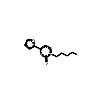 O=c1nc(-c2ccco2)ccn1CCCCCl